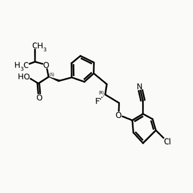 CC(C)O[C@@H](Cc1cccc(C[C@@H](F)COc2ccc(Cl)cc2C#N)c1)C(=O)O